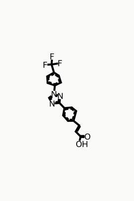 O=C(O)/C=C/c1ccc(-c2ncn(-c3ccc(C(F)(F)F)cc3)n2)cc1